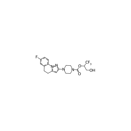 O=C(OC(CO)C(F)(F)F)N1CCN(c2cc3n(n2)-c2ccc(F)cc2CC3)CC1